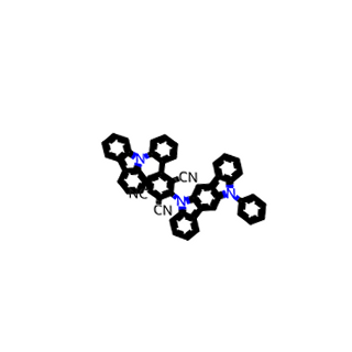 N#Cc1cc(-c2ccccc2-n2c3ccccc3c3ccccc32)c(C#N)c(-n2c3ccccc3c3cc4c(cc32)c2ccccc2n4-c2ccccc2)c1C#N